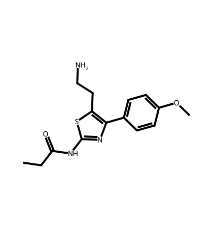 CCC(=O)Nc1nc(-c2ccc(OC)cc2)c(CCN)s1